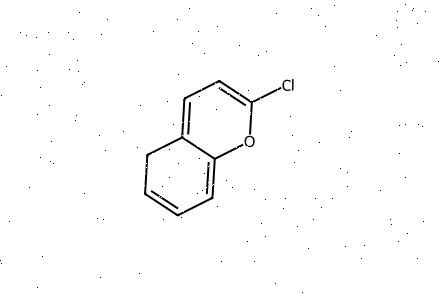 ClC1=CC=C2CC=CC=C2O1